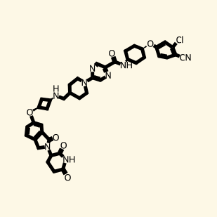 N#Cc1ccc(O[C@H]2CC[C@H](NC(=O)c3cnc(N4CCC(CN[C@H]5C[C@H](Oc6ccc7c(c6)C(=O)N(C6CCC(=O)NC6=O)C7)C5)CC4)cn3)CC2)cc1Cl